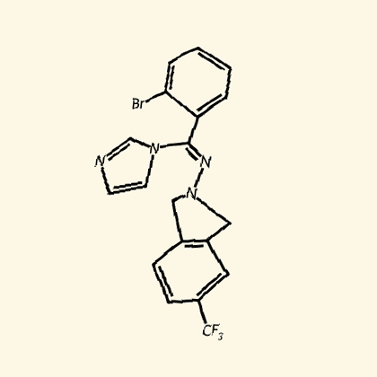 FC(F)(F)c1ccc2c(c1)CN(/N=C(/c1ccccc1Br)n1ccnc1)C2